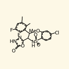 COc1cc(Cl)ccc1S(=O)(=O)NC(c1n[nH]c(=O)o1)C(C)c1c(C)c(C)cc(F)c1F